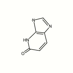 O=c1ccc2c([nH]1)[N]C=N2